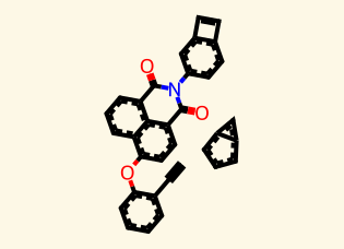 C#Cc1ccccc1Oc1ccc2c3c(cccc13)C(=O)N(c1ccc3c(c1)C=C3)C2=O.c1cc2cc-2c1